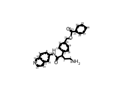 NCCC(C(=O)Nc1ccc2cnccc2c1)c1ccc(COC(=O)c2ccccc2)cc1